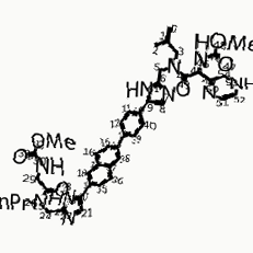 C=C(C)CN(Cc1ncc(-c2ccc(-c3ccc4cc(-c5cnc(CN(CCC)C(=O)CNC(=O)OC)[nH]5)ccc4c3)cc2)[nH]1)C(=O)C(NC(=O)OC)C1=NC=CNC1